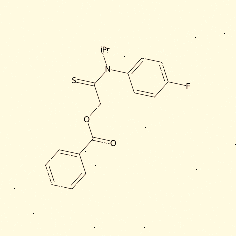 CC(C)N(C(=S)COC(=O)c1ccccc1)c1ccc(F)cc1